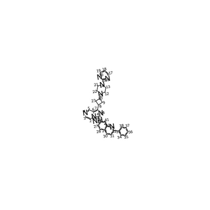 N[N+]12C=CN=CC1=C(C1CC(N3CCN(c4ncccn4)CC3)C1)N=C2c1ccc2ccc(-c3ccccc3)nc2c1